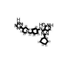 O=c1[nH]ncc2nc(C3CCCCCC3)nc(Nc3ccc(CN4CCC(c5nn[nH]n5)CC4)cc3)c12